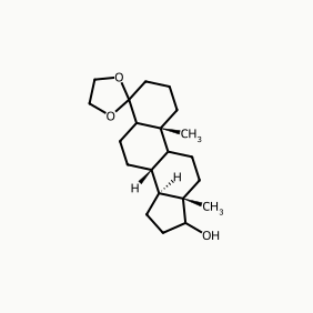 C[C@]12CCCC3(OCCO3)C1CC[C@@H]1C2CC[C@]2(C)C(O)CC[C@@H]12